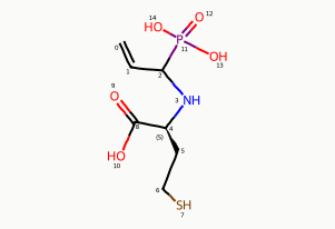 C=CC(N[C@@H](CCS)C(=O)O)P(=O)(O)O